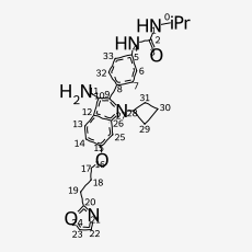 CC(C)NC(=O)Nc1ccc(-c2c(N)c3ccc(OCCCc4ncco4)cc3n2C2CCC2)cc1